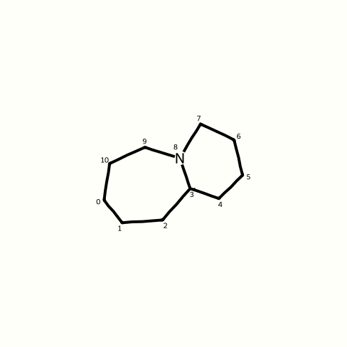 C1CC[C]2CCCCN2CC1